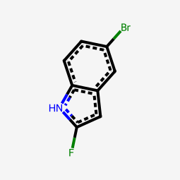 Fc1cc2cc(Br)ccc2[nH]1